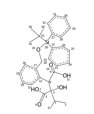 CC(C)C(O)(C(=O)O)C(C(=O)O)c1ccccc1CO[Si](c1ccccc1)(c1ccccc1)C(C)(C)C